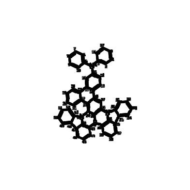 c1ccc(N(c2ccccc2)c2ccc3c(c2)c2ccccc2c2c4c5c(cc32)-n2c3ccccc3c3cccc(c32)B5c2cccc3c5ccccc5n-4c23)cc1